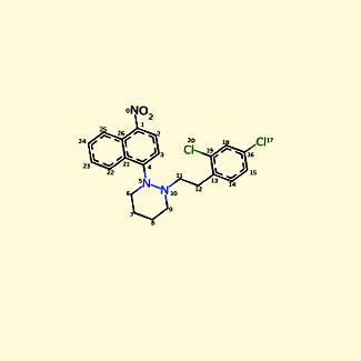 O=[N+]([O-])c1ccc(N2CCCCN2CCc2ccc(Cl)cc2Cl)c2ccccc12